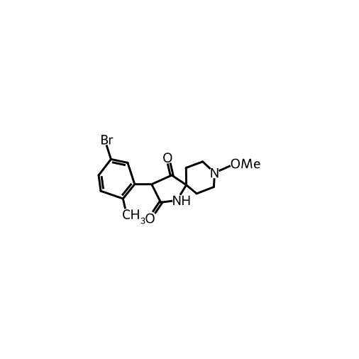 CON1CCC2(CC1)NC(=O)C(c1cc(Br)ccc1C)C2=O